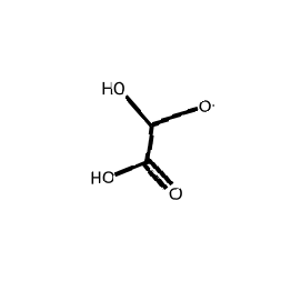 [O]C(O)C(=O)O